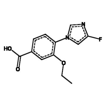 CCOc1cc(C(=O)O)ccc1-n1cnc(F)c1